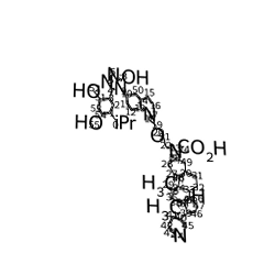 CC(C)c1cc(-c2nnc(O)n2-c2ccc3c(ccn3CCOCCN(C(=O)O)[C@H]3CC[C@@]4(C)C(=CCC5C4CC[C@]4(C)C(c6cccnc6)=CC[C@@H]54)C3)c2)c(O)cc1O